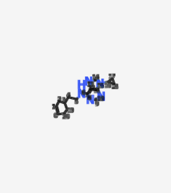 C1=CCC(CCNc2ncnc3c2ncn3C2CC2)CC1